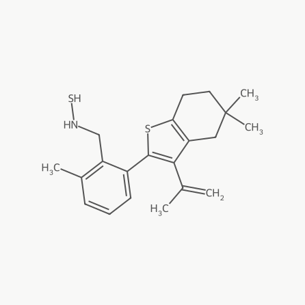 C=C(C)c1c(-c2cccc(C)c2CNS)sc2c1CC(C)(C)CC2